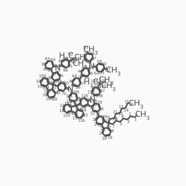 CCCCCCCCC1(CCCCCCCC)c2ccccc2-c2ccc(-c3ccc4c(c3)c3cc(C5(c6ccc(N(c7ccc(-c8ccc(N(c9ccc(C)cc9)c9ccc(C)cc9)cc8)cc7)c7ccc(C8(c9ccc%10c(c9)c9ccccc9n%10-c9ccc(C(C)(C)C)cc9)c9ccccc9-c9ccccc98)cc7)cc6)c6ccccc6-c6ccccc65)ccc3n4-c3ccc(C(C)(C)C)cc3)cc21